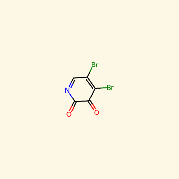 O=C1N=CC(Br)=C(Br)C1=O